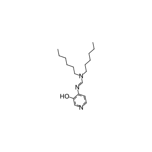 CCCCCCN(/C=N/c1ccncc1O)CCCCCC